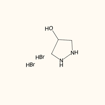 Br.Br.OC1CNNC1